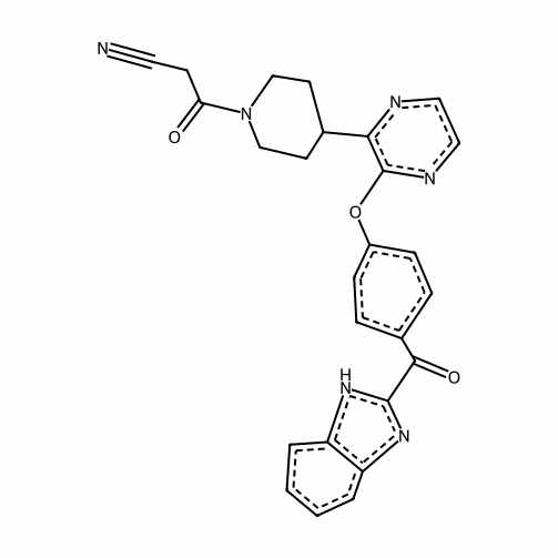 N#CCC(=O)N1CCC(c2nccnc2Oc2ccc(C(=O)c3nc4ccccc4[nH]3)cc2)CC1